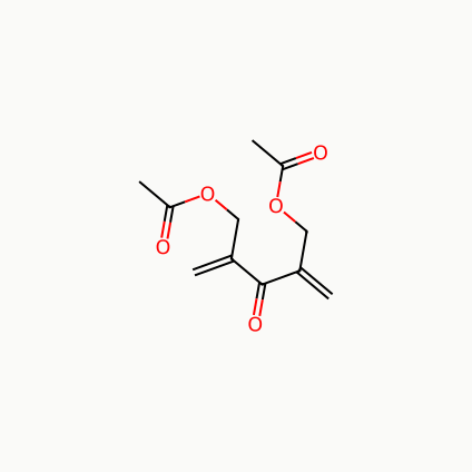 C=C(COC(C)=O)C(=O)C(=C)COC(C)=O